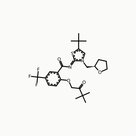 CC(C)(C)C(=O)COc1ccc(C(F)(F)F)cc1C(=O)N=c1sc(C(C)(C)C)cn1C[C@H]1CCCO1